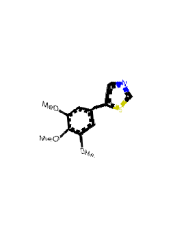 COc1cc(-c2cncs2)cc(OC)c1OC